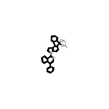 CC1(C)c2ccccc2-c2c1ccc1c2ccn1-c1ncc(-c2ccccc2)c2ccccc12